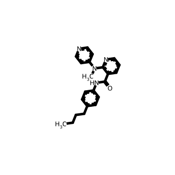 CCCCc1ccc(NC(=O)c2cccnc2N(C)c2ccncc2)cc1